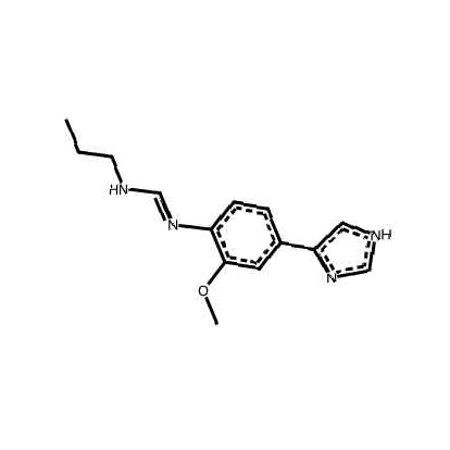 CCCNC=Nc1ccc(-c2c[nH]cn2)cc1OC